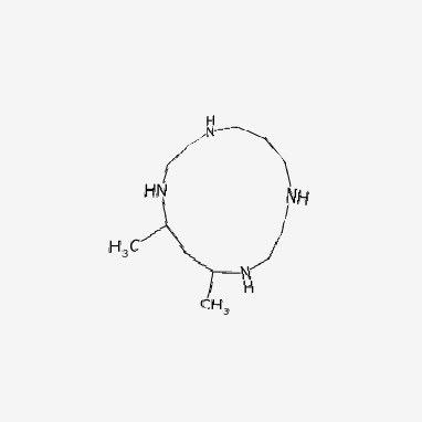 CC1CC(C)NCCNCCCNCCN1